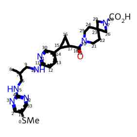 CSc1cnc(NCC(C)CNc2ccc(C3CC3C(=O)N3CCC4(CC3)CN(C(=O)O)C4)cn2)nc1